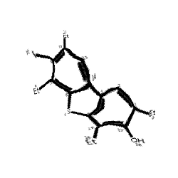 CCc1cc2c(sc3c(CC)c(I)c(CC)cc32)c(CC)c1O